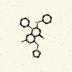 Cc1cc2c(c(Cn3ccnc3)n1)c(=O)cc(Nc1ccccc1)n2-c1ccccc1